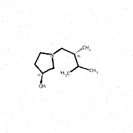 CC(C)[C@@H](C)CN1CC[C@H](O)C1